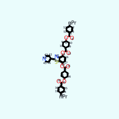 CCCc1ccc(C(=O)OC2CCC(C(=O)Oc3ccc(OC(=O)C4CCC(OC(=O)c5ccc(CCC)cc5)CC4)c4sc(-c5ccncc5)nc34)CC2)cc1